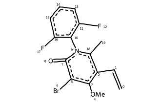 C=Cc1c(OC)c(Br)c(=O)n(-c2c(F)cccc2F)c1C